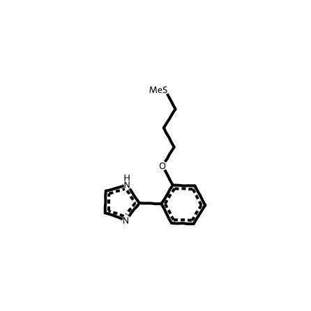 CSCCCOc1ccccc1-c1ncc[nH]1